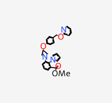 COC(=O)c1cccc(N2CC(Oc3ccc(COc4ccccn4)cc3)C2)c1-n1cccc1